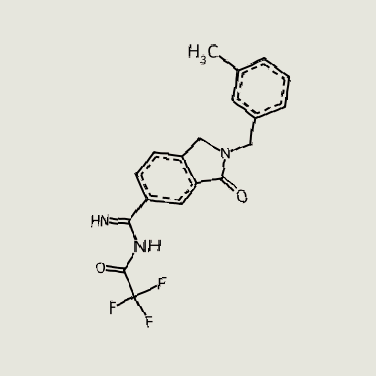 Cc1cccc(CN2Cc3ccc(C(=N)NC(=O)C(F)(F)F)cc3C2=O)c1